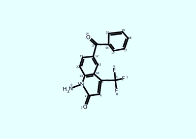 Nn1c(=O)cc(C(F)(F)F)c2cc(C(=O)c3ccccc3)ccc21